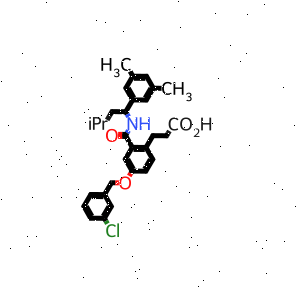 Cc1cc(C)cc(C(CC(C)C)NC(=O)c2cc(OCc3cccc(Cl)c3)ccc2CCC(=O)O)c1